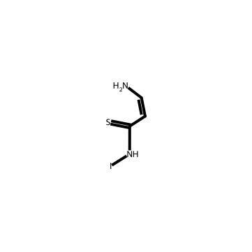 N/C=C\C(=S)NI